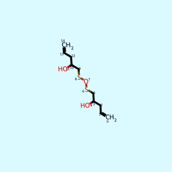 C=CCC(O)CSOSCC(O)CC=C